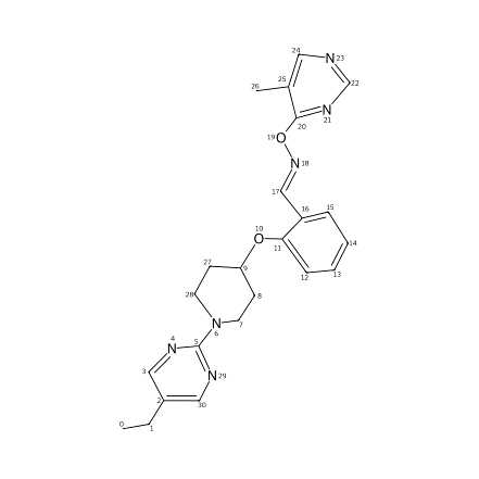 CCc1cnc(N2CCC(Oc3ccccc3C=NOc3ncncc3C)CC2)nc1